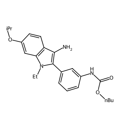 CCCCOC(=O)Nc1cccc(-c2c(N)c3ccc(OC(C)C)cc3n2CC)c1